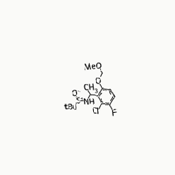 COCOc1ccc(F)c(Cl)c1C(C)N[S+]([O-])C(C)(C)C